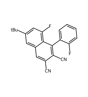 CC(C)(C)c1cc(F)c2c(-c3ccccc3F)c(C#N)c(C#N)cc2c1